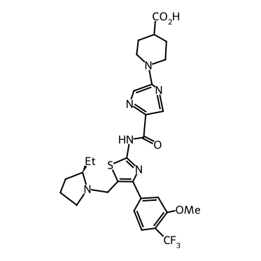 CC[C@@H]1CCCN1Cc1sc(NC(=O)c2cnc(N3CCC(C(=O)O)CC3)cn2)nc1-c1ccc(C(F)(F)F)c(OC)c1